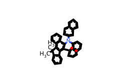 CC1(C)c2ccccc2-c2c(-c3ccccc3)c(N(c3ccccc3)c3ccc4ccccc4c3)c3ccccc3c21